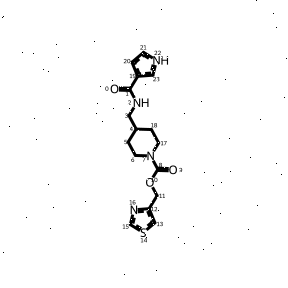 O=C(NCC1CCN(C(=O)OCc2cscn2)CC1)c1cc[nH]c1